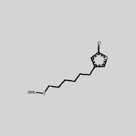 O=COCCCCCCc1csc(Cl)c1